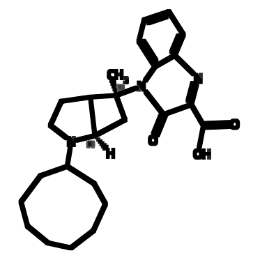 C[C@]1(n2c(=O)c(C(=O)O)nc3ccccc32)C[C@@H]2C1CCN2C1CCCCCCCC1